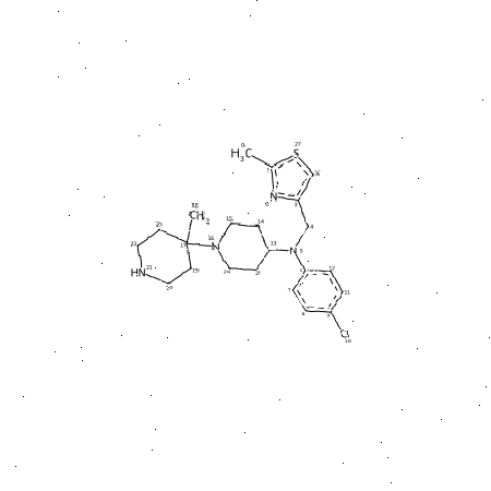 Cc1nc(CN(c2ccc(Cl)cc2)C2CCN(C3(C)CCNCC3)CC2)cs1